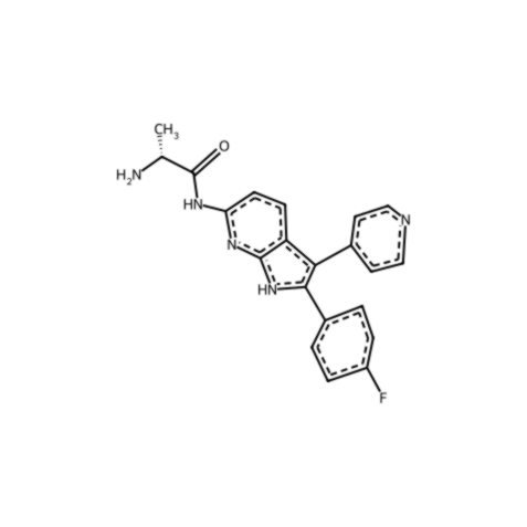 C[C@@H](N)C(=O)Nc1ccc2c(-c3ccncc3)c(-c3ccc(F)cc3)[nH]c2n1